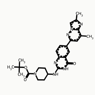 Cc1cn2nc(-c3ccc4nc(NC5CCN(C(=O)OC(C)(C)C)CC5)[nH]c(=O)c4c3)cc(C)c2n1